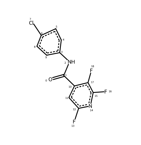 O=C(Nc1ccc(Cl)cc1)c1cc(F)nc(F)c1F